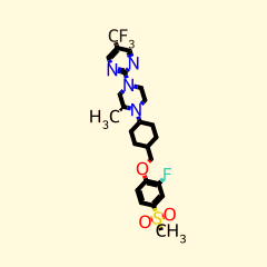 C[C@H]1CN(c2ncc(C(F)(F)F)cn2)CCN1C1CCC(COc2ccc(S(C)(=O)=O)cc2F)CC1